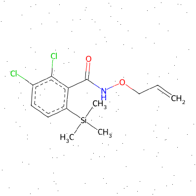 C=CCONC(=O)c1c([Si](C)(C)C)ccc(Cl)c1Cl